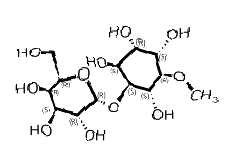 CO[C@H]1[C@H](O)[C@@H](O[C@H]2O[C@H](CO)[C@H](O)[C@H](O)[C@H]2O)[C@@H](O)[C@H](O)[C@@H]1O